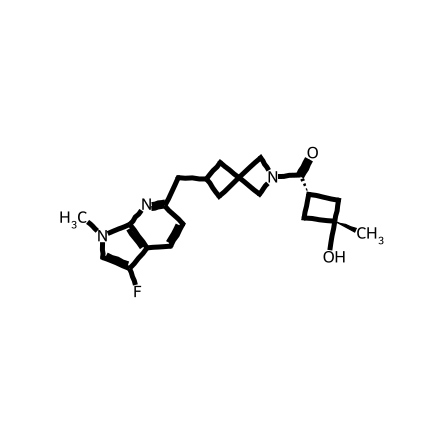 Cn1cc(F)c2ccc(CC3CC4(C3)CN(C(=O)[C@H]3C[C@@](C)(O)C3)C4)nc21